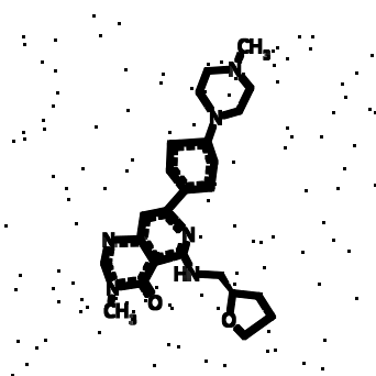 CN1CCN(c2ccc(-c3cc4ncn(C)c(=O)c4c(NC[C@H]4CCCO4)n3)cc2)CC1